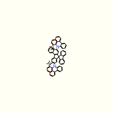 C[Si](C)(C)c1ccccc1N(c1ccc2c(c1)C1(c3ccccc3-c3ccccc31)c1cc(N(c3ccccc3-c3ccccc3)c3ccccc3[Si](C)(C)C)c3ccccc3c1-2)c1ccccc1-c1ccccc1